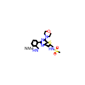 CNc1cccc(-c2nc(N3CCOCC3)c3sc(CNS(C)(=O)=O)cc3n2)c1C=N